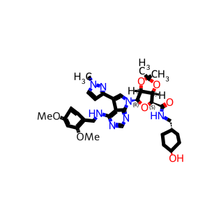 COc1ccc(CNc2ncnc3c2c(-c2ccn(C)n2)cn3[C@@H]2O[C@H](C(=O)NC[C@H]3CC[C@@H](O)CC3)[C@H]3OC(C)(C)O[C@H]32)c(OC)c1